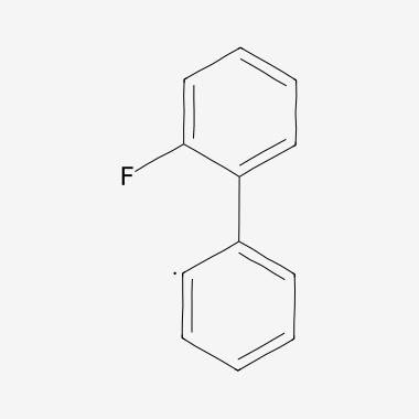 Fc1ccccc1-c1[c]cccc1